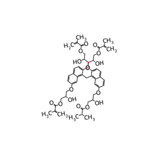 C=C(C)C(=O)OCC(O)COc1ccc2ccc(OCC(O)COC(=O)C(=C)C)c(Cc3c(OCC(O)COC(=O)C(=C)C)ccc4ccc(OCC(O)COC(=O)C(C)C)cc34)c2c1